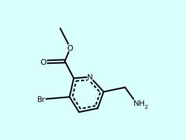 COC(=O)c1nc(CN)ccc1Br